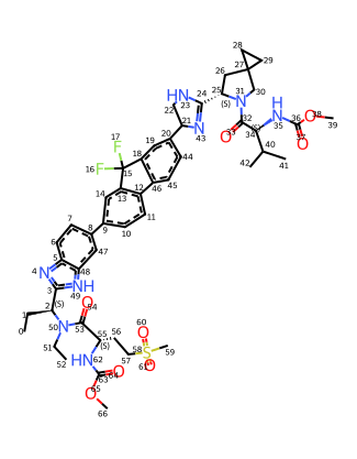 CC[C@@H](c1nc2ccc(-c3ccc4c(c3)C(F)(F)c3cc(C5CNC([C@@H]6CC7(CC7)CN6C(=O)[C@@H](NC(=O)OC)C(C)C)=N5)ccc3-4)cc2[nH]1)N(CC)C(=O)[C@H](CCS(C)(=O)=O)NC(=O)OC